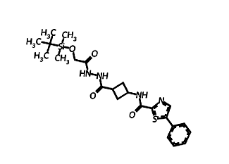 CC(C)(C)[Si](C)(C)OCC(=O)NNC(=O)C1CC(NC(=O)c2ncc(-c3ccccc3)s2)C1